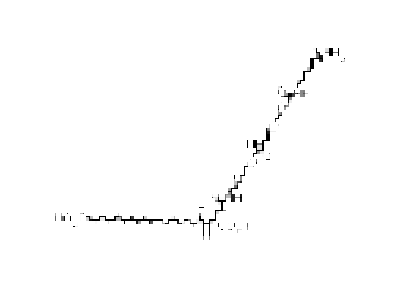 CC(C)(N)CCCCCNC(=O)COCCOCCNC(=O)COCCOCCNC(=O)CC[C@H](NC(=O)CCCCCCCCCCCCCCCCC(=O)O)C(=O)O